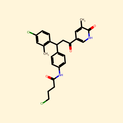 Cc1cc(Cl)ccc1C(CC(=O)c1c[nH]c(=O)c(C)c1)c1ccc(NC(=O)CCCCl)cc1